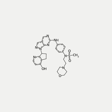 CS(=O)(=O)N(CCN1CCOCC1)c1ccc(Nc2ncc3cnn(C4CCc5c(O)ccnc54)c3n2)cc1